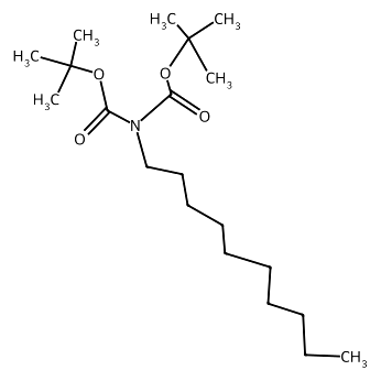 CCCCCCCCCCN(C(=O)OC(C)(C)C)C(=O)OC(C)(C)C